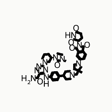 CN1CCN([C@@H]2CCCN(c3nnc(C(N)=O)c(Nc4ccc(C5CCN(CC6(C)CCN(c7ccc8c(c7)C(=O)N(C7CCC(=O)NC7=O)C8=O)C6)CC5)cc4)n3)C2)C1=O